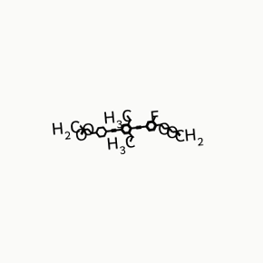 C=COCOCc1ccc(C#Cc2c(CC)cc(C#CC3CCC(COC(=O)C=C)CC3)cc2CC)cc1F